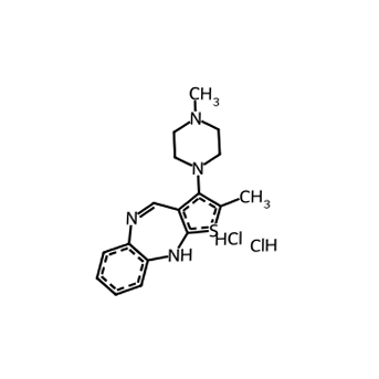 Cc1sc2c(c1N1CCN(C)CC1)C=Nc1ccccc1N2.Cl.Cl